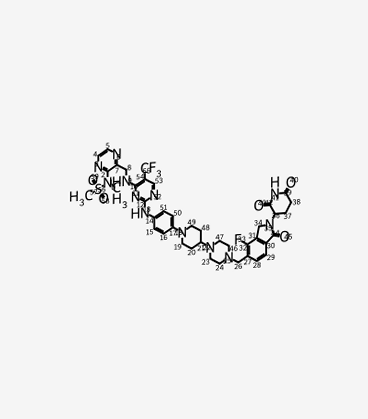 CN(c1nccnc1CNc1nc(Nc2ccc(N3CCC(N4CCN(Cc5ccc6c(c5F)CN(C5CCC(=O)NC5=O)C6=O)CC4)CC3)cc2)ncc1C(F)(F)F)S(C)(=O)=O